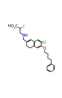 Cl.O=C(O)C(F)CNCC1=Cc2ccc(OCCCCc3ccccc3)cc2CC1